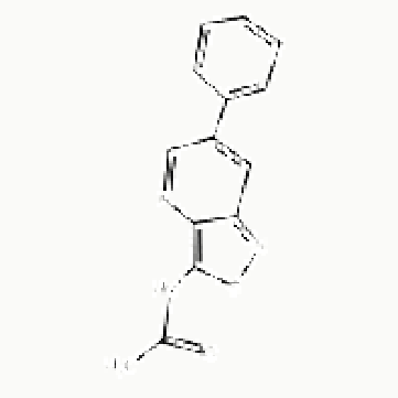 CC(=O)Nc1snc2cc(-c3ccccc3)cnc12